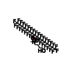 CN(CCCCO)S(=O)(=O)C(F)(C(F)(F)C(F)(F)C(F)(F)C(F)(F)C(F)(F)C(F)(F)C(F)(F)F)C(F)(F)C(F)(F)C(F)(F)C(F)(F)C(F)(F)C(F)(F)C(F)(F)C(F)(F)F